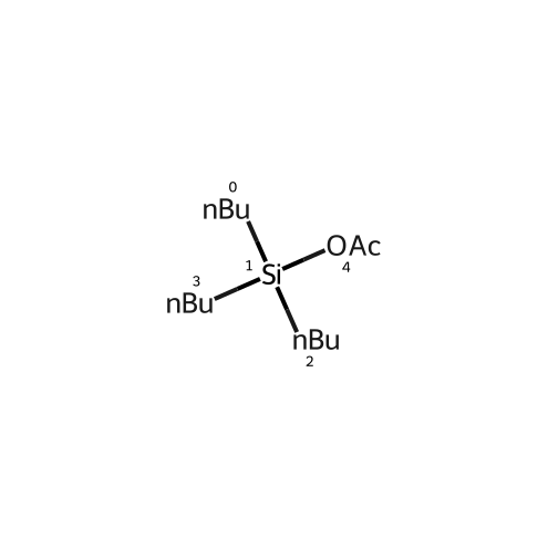 CCCC[Si](CCCC)(CCCC)OC(C)=O